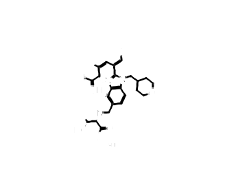 C=C(I)C(=O)/C(C)=C\C(=C/C)c1nc2cc(CN[C@H](C(=O)OC(C)(C)C)[C@@H](C)O)ccc2n1CC1CCOCC1